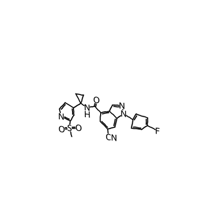 CS(=O)(=O)c1cc(C2(NC(=O)c3cc(C#N)cc4c3cnn4-c3ccc(F)cc3)CC2)ccn1